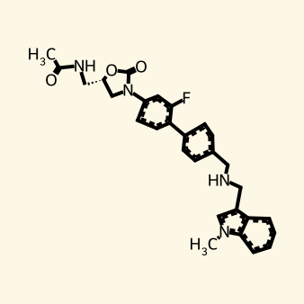 CC(=O)NC[C@H]1CN(c2ccc(-c3ccc(CNCc4cn(C)c5ccccc45)cc3)c(F)c2)C(=O)O1